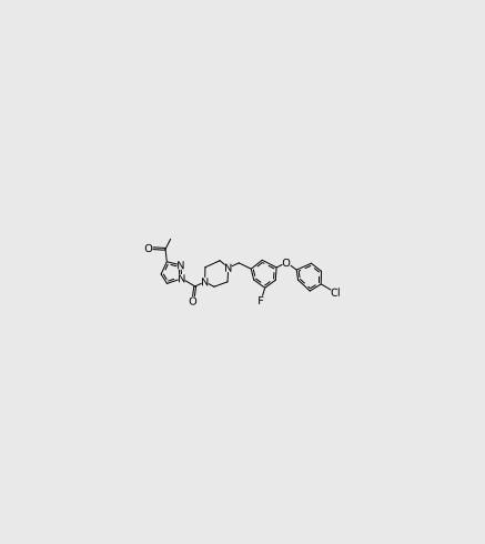 CC(=O)c1ccn(C(=O)N2CCN(Cc3cc(F)cc(Oc4ccc(Cl)cc4)c3)CC2)n1